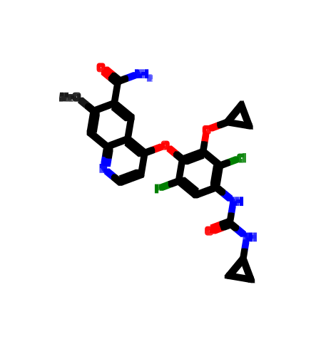 COc1cc2nccc(Oc3c(F)cc(NC(=O)NC4CC4)c(Cl)c3OC3CC3)c2cc1C(N)=O